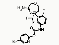 NC1=N[C@@](c2cc(NC(=O)Oc3ccc(Br)cn3)ccc2F)(C(F)F)CCOC1